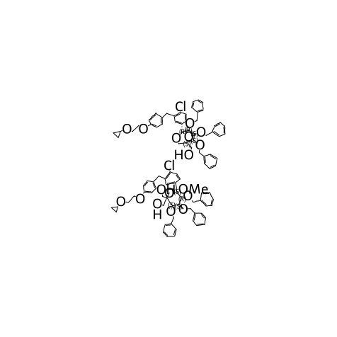 CO[C@@]1(c2ccc(Cl)c(Cc3ccc(OCCOC4CC4)cc3)c2)OC(CO)(CO)[C@@H](OCc2ccccc2)[C@H](OCc2ccccc2)[C@H]1OCc1ccccc1.OC[C@@]12CO[C@](c3ccc(Cl)c(Cc4ccc(OCCOC5CC5)cc4)c3)(O1)[C@H](OCc1ccccc1)[C@@H](OCc1ccccc1)[C@@H]2OCc1ccccc1